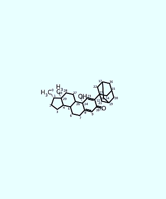 C[C@H]1CCC2C3CCC4=CC(=O)C(C56CC7CC(CC(C7)C5)C6)=C[C@]4(O)C3CC[C@@]21C